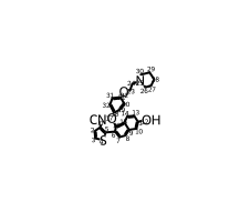 N#Cc1ccsc1-c1ccc2cc(O)ccc2c1Oc1ccc(OCCN2CCCCC2)cc1